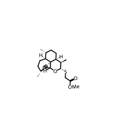 COC(=O)CS[C@@H]1O[C@@H]2O[C@]3(C)CC[C@H]4[C@H](C)CC[C@@H]([C@H]1C)[C@@]24OO3